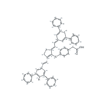 O=C(O)Cc1ccc(SC2=C(/C=C/C3=CC(c4ccccc4)=[SH]C(c4ccccc4)=C3)CC/C2=C\C=C2C=C(c3ccccc3)SC(c3ccccc3)=C2)cc1